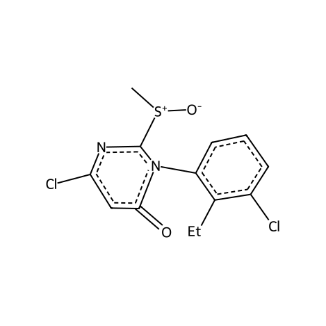 CCc1c(Cl)cccc1-n1c([S+](C)[O-])nc(Cl)cc1=O